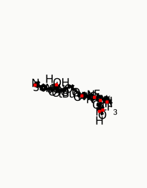 Cc1ncsc1-c1ccc([C@H](C)NC(=O)[C@@H]2C[C@@H](O)CN2C(=O)[C@@H](NC(=O)COCC(C)CCOCC(=O)N2CCN(c3ncc(-c4cc(NC(=O)c5c[nH]c(=O)cc5C(F)(F)F)c(N5C[C@@H](C)N(C)[C@@H](C)C5)cc4F)cn3)CC2)C(C)(C)C)cc1